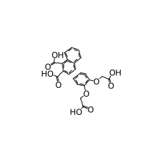 O=C(O)COc1ccccc1OCC(=O)O.O=C(O)c1ccc2ccccc2c1C(=O)O